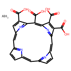 O=C(O)C1=CC2=CC3=NC(=CC4=NC(=CC5=NC(=C(C(=O)O)C1=N2)C(C(=O)O)=C5C(=O)O)C=C4)C=C3.[AlH3]